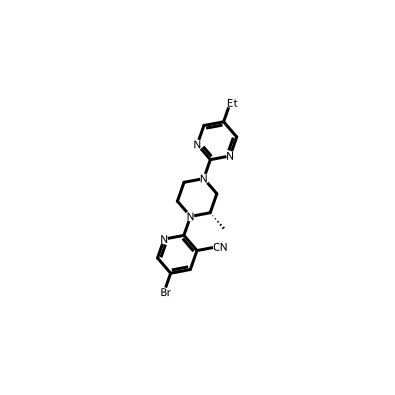 CCc1cnc(N2CCN(c3ncc(Br)cc3C#N)[C@@H](C)C2)nc1